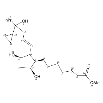 CCCC(O)(CC=C[C@@H]1[C@@H](CCCCSCC(=O)OC)[C@@H](O)C[C@H]1O)C1CC1